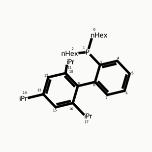 CCCCCCP(CCCCCC)c1ccccc1-c1c(C(C)C)cc(C(C)C)cc1C(C)C